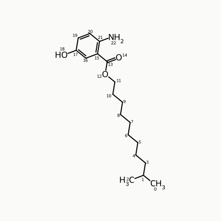 CC(C)CCCCCCCCCOC(=O)c1cc(O)ccc1N